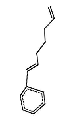 C=CCCCC=Cc1ccccc1